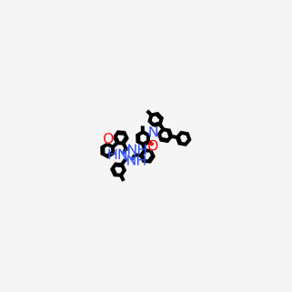 CC1C=CC=C(C2NC(C3=CC=CC4OC5=C(C=CC(C)C5N5C6=C(C=CC(C)C6)C6C=C(C7=CCCCC7)C=CC65)C34)NC(c3cccc4c3C3C=CC=CC3O4)N2)C1